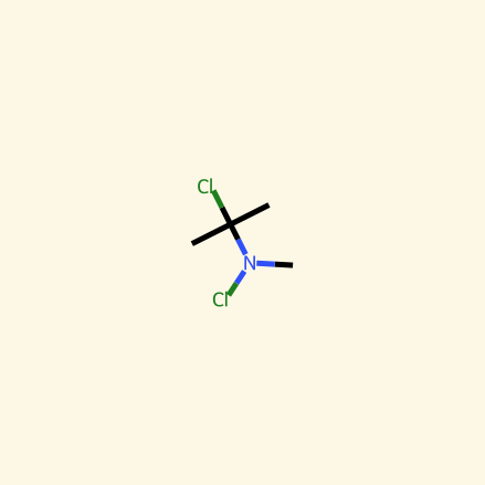 CN(Cl)C(C)(C)Cl